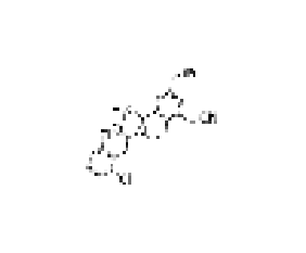 CC(C)Cc1cc(CC#N)c2c(c1)[C@H](C)N(C(=O)Cc1c(Cl)cccc1Cl)CC2